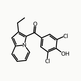 CCc1cc2ccccn2c1C(=O)c1cc(Cl)c(O)c(Cl)c1